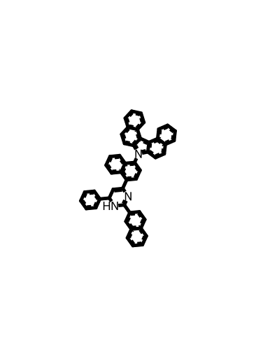 C1=C(c2ccc(-n3c4ccc5ccccc5c4c4c5ccccc5ccc43)c3ccccc23)N=C(c2ccc3ccccc3c2)NC1c1ccccc1